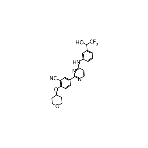 N#Cc1cc(-c2nccc(Nc3cccc(C(O)C(F)(F)F)c3)n2)ccc1OC1CCOCC1